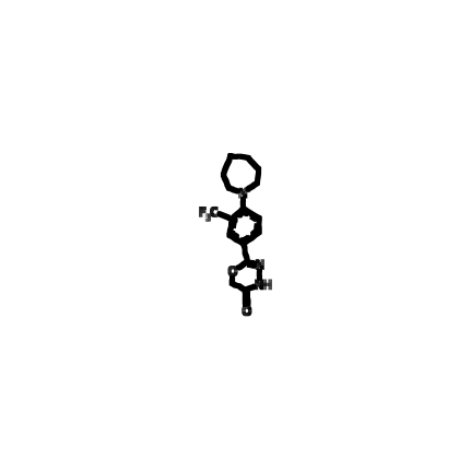 O=C1COC(c2ccc(N3CCCCCC3)c(C(F)(F)F)c2)=NN1